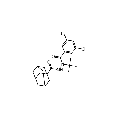 CC(C)(C)N(NC(=O)C12CC3CC(CC(C3)C1)C2)C(=O)c1cc(Cl)cc(Cl)c1